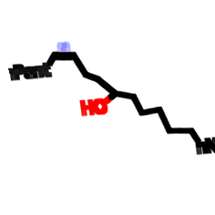 CCCCC/C=C\CCC(O)CCCCCCCCCCCCCC